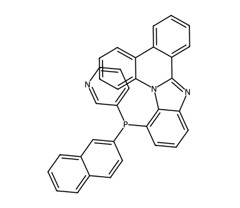 c1cncc(P(c2ccc3ccccc3c2)c2cccc3nc4c5ccccc5c5ccccc5n4c23)c1